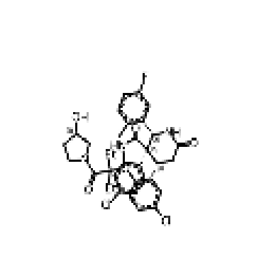 CCC(CC)(Oc1ccc(Cl)cc1[C@H]1CC(=O)N[C@@H](c2cc(F)ccc2C)[C@]12C(=O)Nc1cc(Cl)ccc12)C(=O)N1CC[C@@H](O)C1